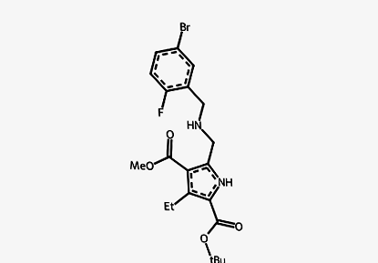 CCc1c(C(=O)OC(C)(C)C)[nH]c(CNCc2cc(Br)ccc2F)c1C(=O)OC